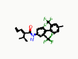 C=C/C=C(/C(=O)Nc1ccc(-c2ccc(C)cc2C(F)(F)F)c(C(F)(F)F)c1)C(C)C